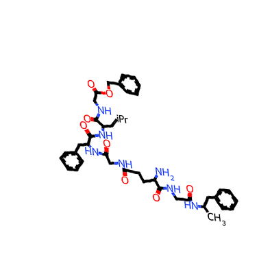 CC(C)CC(NC(=O)C(Cc1ccccc1)NC(=O)CNC(=O)CCC(N)C(=O)NCC(=O)NC(C)Cc1ccccc1)C(=O)NCC(=O)OCc1ccccc1